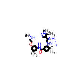 Cc1ccc(C(=O)Nc2cc(OCCNC(C)C)cc(C(F)(F)F)c2)cc1N(N)/C=C(\N)c1cnn(C)c1C